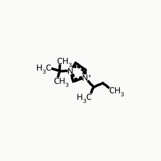 CCC(C)[n+]1ccn(C(C)(C)C)c1